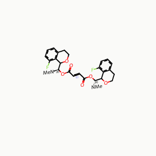 CN[C@H](OC(=O)/C=C/C(=O)O[C@@H](NC)C1OCCc2cccc(F)c21)C1OCCc2cccc(F)c21